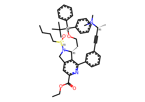 CCCC[S@@+]([O-])N1Cc2cc(C(=O)OCC)nc(-c3cccc(C#C[C@@H](C)N(C)C)c3)c2[C@H]1CCO[Si](c1ccccc1)(c1ccccc1)C(C)(C)C